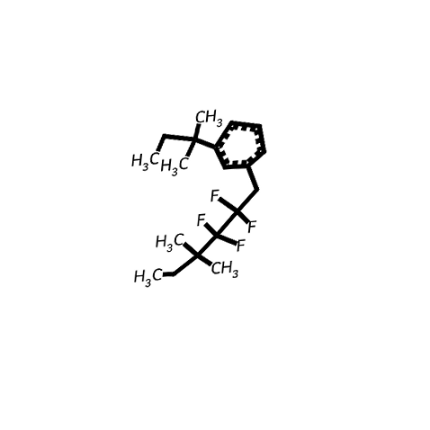 CCC(C)(C)c1cccc(CC(F)(F)C(F)(F)C(C)(C)CC)c1